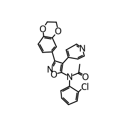 CC(=O)N(c1ccccc1Cl)c1onc(-c2ccc3c(c2)OCCO3)c1-c1ccncc1